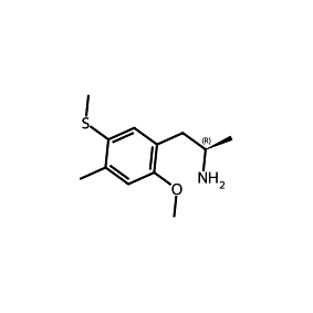 COc1cc(C)c(SC)cc1C[C@@H](C)N